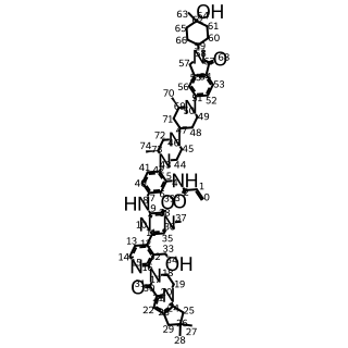 C=CC(=O)Nc1cc(Nc2nc(-c3ccnc(N4CCn5c(cc6c5CC(C)(C)C6)C4=O)c3CO)cn(C)c2=O)ccc1N1CCN(C2CCN(c3ccc4c(c3)CN(C3CCC(C)(O)CC3)C4=O)[C@H](C)C2)C[C@@H]1C